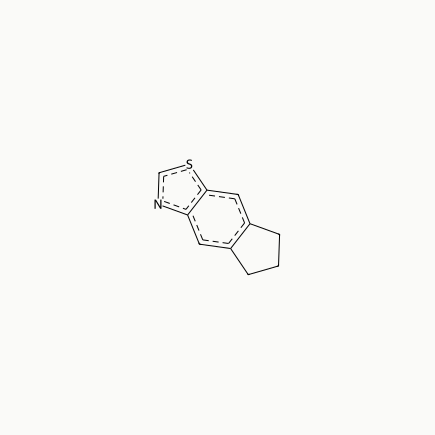 c1nc2cc3c(cc2s1)CCC3